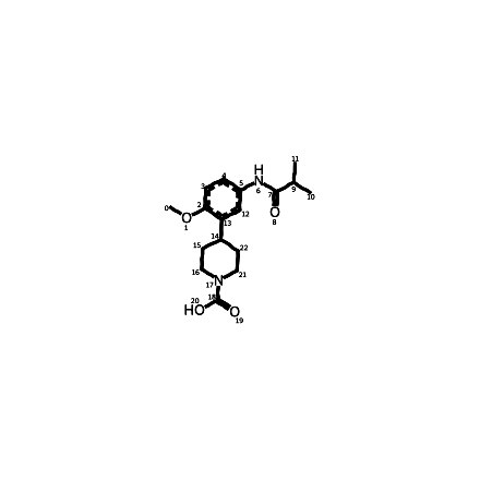 COc1ccc(NC(=O)C(C)C)cc1C1CCN(C(=O)O)CC1